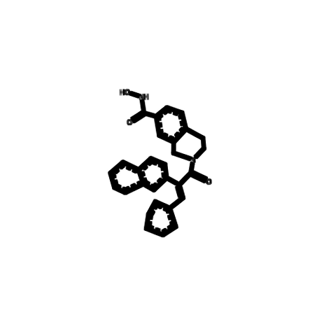 O=C(NO)c1ccc2c(c1)CN(C(=O)C(=Cc1ccccc1)c1ccc3ccccc3c1)CC2